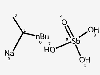 CCCC[CH](C)[Na].[O]=[Sb]([OH])([OH])[OH]